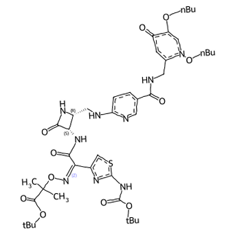 CCCCOc1cn(OCCCC)c(CNC(=O)c2ccc(NC[C@H]3NC(=O)[C@H]3NC(=O)/C(=N\OC(C)(C)C(=O)OC(C)(C)C)c3csc(NC(=O)OC(C)(C)C)n3)nc2)cc1=O